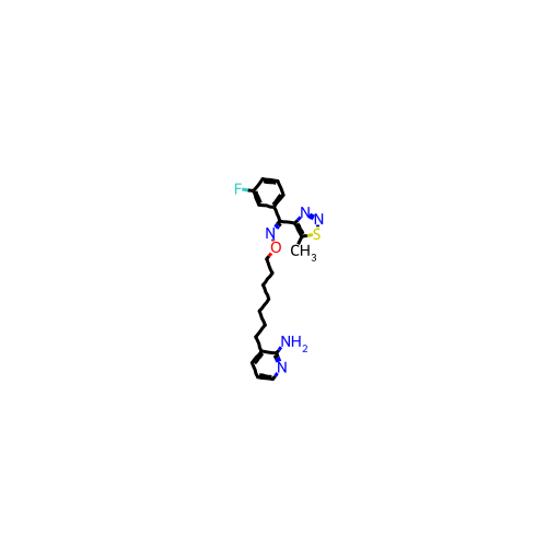 Cc1snnc1C(=NOCCCCCCCc1cccnc1N)c1cccc(F)c1